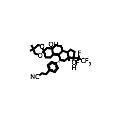 CC1(C)COC2(CCC3=C4C(CCC3(O)C2)C2CCC(O)(C(F)(F)C(F)(F)F)C2(C)C[C@@H]4c2ccc(CCC#N)cc2)OC1